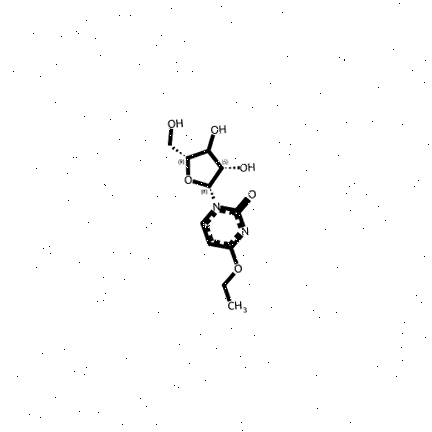 CCOc1ccn([C@@H]2O[C@H](CO)C(O)[C@@H]2O)c(=O)n1